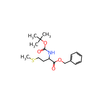 CSCCC(NC(=O)OC(C)(C)C)C(=O)OCc1ccccc1